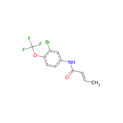 CC=CC(=O)Nc1ccc(OC(F)(F)F)c(Br)c1